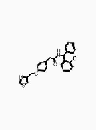 O=C(Cc1ccc(OCc2cscn2)cc1)NC(c1ccccc1)c1ccccc1Cl